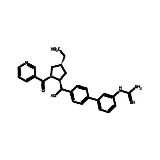 N=C(N)Nc1cccc(-c2ccc(C(O)[C@@H]3C[C@@H](CC(=O)O)CN3C(=O)c3cccnc3)cc2)c1